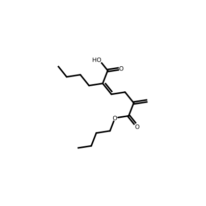 C=C(CC=C(CCCC)C(=O)O)C(=O)OCCCC